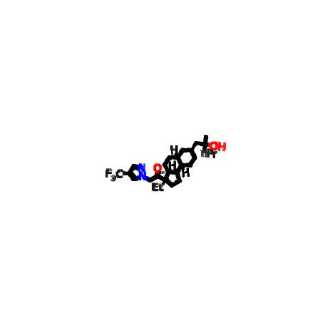 CCCC(C)(O)C[C@H]1CC[C@@H]2[C@H](CC[C@@]3(C)[C@H]2CC[C@]3(CC)C(=O)Cn2cc(C(F)(F)F)cn2)C1